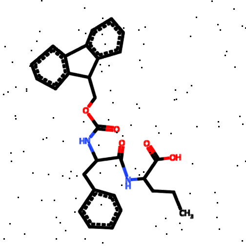 CCCC(NC(=O)C(Cc1ccccc1)NC(=O)OCC1c2ccccc2-c2ccccc21)C(=O)O